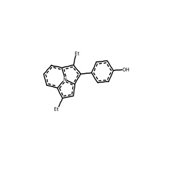 CCc1cc2c(-c3ccc(O)cc3)c(CC)c3cccc1n32